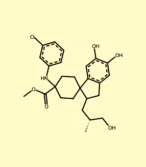 COC(=O)C1(Nc2cccc(Cl)c2)CCC2(CC1)c1cc(O)c(O)cc1CC2C[C@@H](C)CO